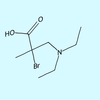 CCN(CC)CC(C)(Br)C(=O)O